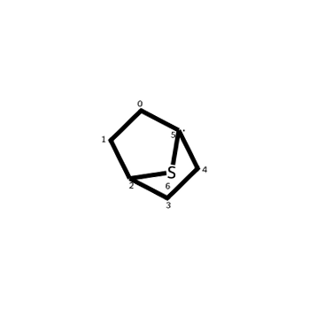 C1CC2CC[C]1S2